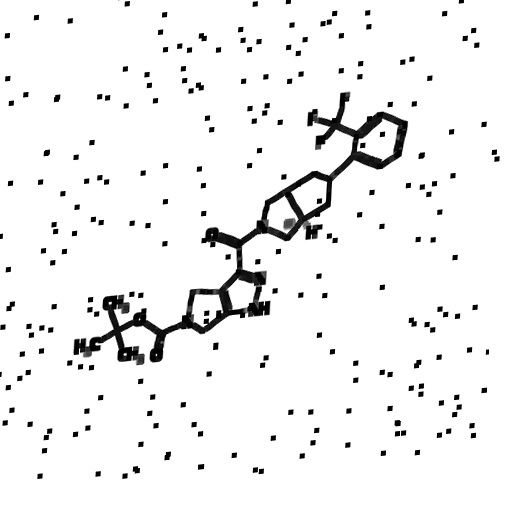 CC(C)(C)OC(=O)N1Cc2[nH]nc(C(=O)N3CC4CC(c5ccccc5C(F)(F)F)C[C@H]4C3)c2C1